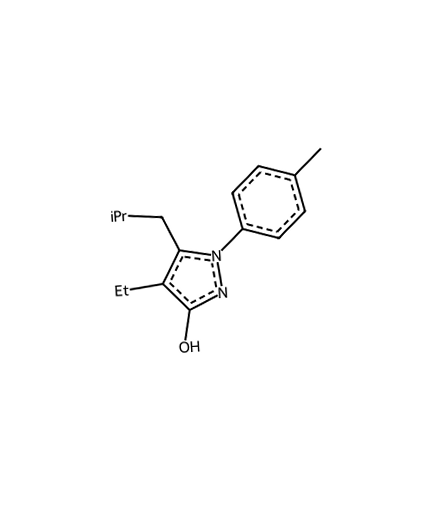 CCc1c(O)nn(-c2ccc(C)cc2)c1CC(C)C